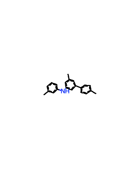 Cc1ccc(-c2cc(C)cc(Nc3cccc(C)c3)c2)cc1